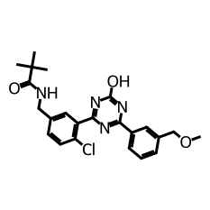 COCc1cccc(-c2nc(O)nc(-c3cc(CNC(=O)C(C)(C)C)ccc3Cl)n2)c1